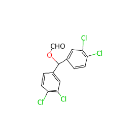 O=COC(c1ccc(Cl)c(Cl)c1)c1ccc(Cl)c(Cl)c1